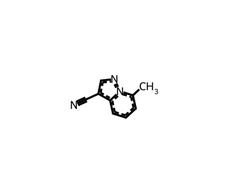 Cc1cccc2c(C#N)cnn12